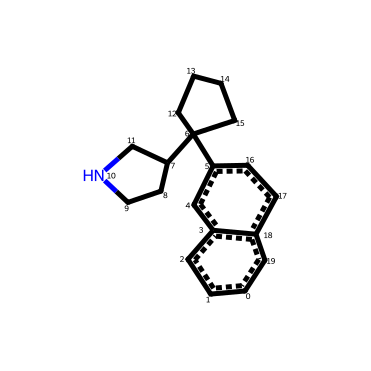 c1ccc2cc(C3(C4CCNC4)CCCC3)ccc2c1